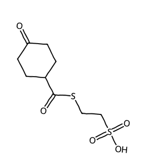 O=C1CCC(C(=O)SCCS(=O)(=O)O)CC1